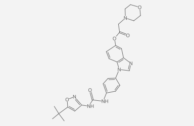 CC(C)(C)c1cc(NC(=O)Nc2ccc(-n3cnc4cc(OC(=O)CN5CCOCC5)ccc43)cc2)no1